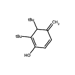 C=C1C=CC(O)=C(C(C)(C)C)C1C(C)(C)C